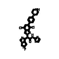 O=C(Nc1nccs1)C(c1ncn2c1C[C@@H](F)C2)n1cc2c(Cl)cc(-c3ccc(N4CCNCC4)cc3)c(Cl)c2n1